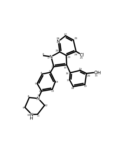 Cn1c(-c2ccc(N3CCNCC3)cc2)c(-c2cccc(O)c2)c2c(Cl)ccnc21